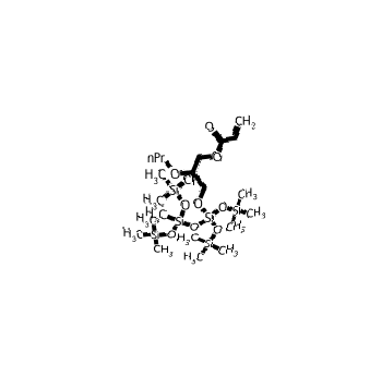 C=CC(=O)OCC(CO[Si](O[Si](C)(C)C)(O[Si](C)(C)C)O[Si](C)(O[Si](C)(C)C)O[Si](C)(C)C)OCCC